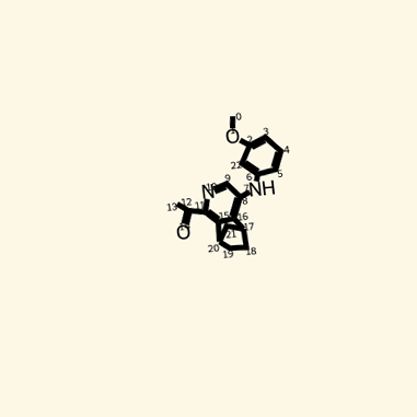 COc1cccc(Nc2cnc(C(C)=O)c3c2C2CCC3C2)c1